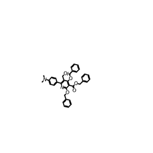 CN(C)c1ccc(-c2nc(OCc3ccccc3)c(C(=O)OCc3ccccc3)c(OCc3ccccc3)c2CO)cc1